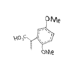 C=C(C(=O)O)c1cc(OC)ccc1OC